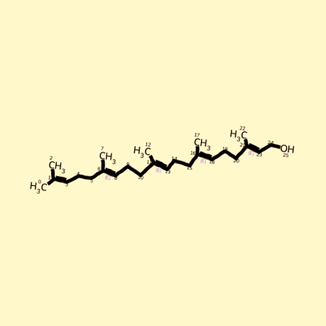 CC(C)=CCC/C(C)=C/CC/C(C)=C/CC/C(C)=C/CC/C(C)=C/CO